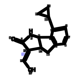 O=C1NC2c3c(cccc3C3CC3)CC2/C1=C\O